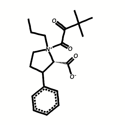 CCC[N+]1(C(=O)C(=O)C(C)(C)C)CCC(c2ccccc2)[C@H]1C(=O)[O-]